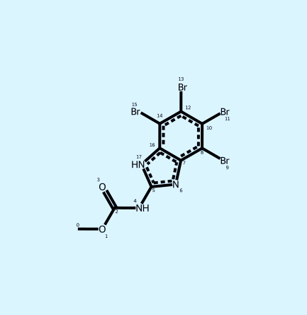 COC(=O)Nc1nc2c(Br)c(Br)c(Br)c(Br)c2[nH]1